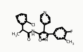 Cc1cc(-c2noc(NC(=O)C(C)c3ccccc3Cl)c2-c2ccncc2)ccc1F